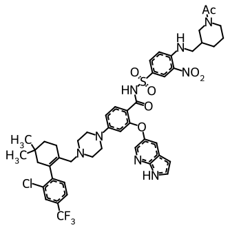 CC(=O)N1CCCC(CNc2ccc(S(=O)(=O)NC(=O)c3ccc(N4CCN(CC5=C(c6ccc(C(F)(F)F)cc6Cl)CC(C)(C)CC5)CC4)cc3Oc3cnc4[nH]ccc4c3)cc2[N+](=O)[O-])C1